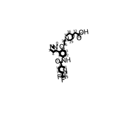 Cn1nccc1-c1cc(NC(=O)c2ccc(C(F)(F)F)nc2)ccc1OCCN1CCC(CC(=O)O)CC1